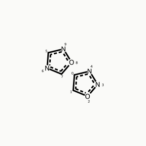 c1conn1.c1ncon1